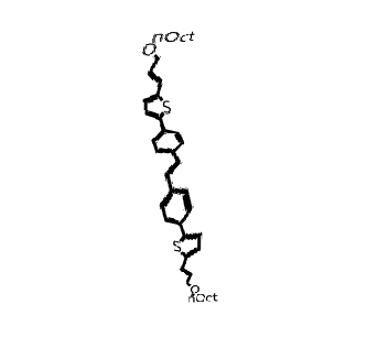 CCCCCCCCOC/C=C/c1ccc(-c2ccc(/C=C/c3ccc(-c4ccc(/C=C/COCCCCCCCC)s4)cc3)cc2)s1